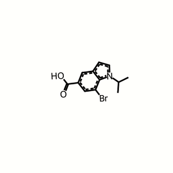 CC(C)n1ccc2cc(C(=O)O)cc(Br)c21